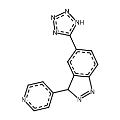 c1cc(C2N=Nc3ccc(-c4nnn[nH]4)cc32)ccn1